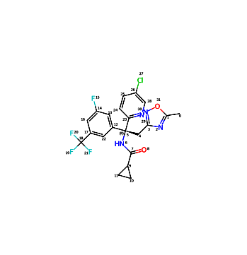 Cc1nc(C[C@@](NC(=O)C2CC2)(c2cc(F)cc(C(F)(F)F)c2)c2ccc(Cl)cn2)no1